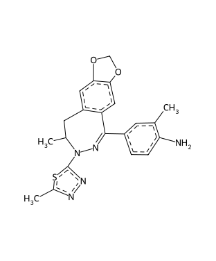 Cc1nnc(N2N=C(c3ccc(N)c(C)c3)c3cc4c(cc3CC2C)OCO4)s1